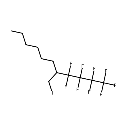 CCCCCCC(CI)C(F)(F)C(F)(F)C(F)(F)C(F)(F)F